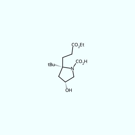 CCOC(=O)CC[C@]1(C(C)(C)C)C[C@@H](O)CN1C(=O)O